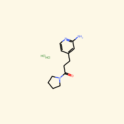 Cl.Cl.Nc1cc(CCC(=O)N2CCCC2)ccn1